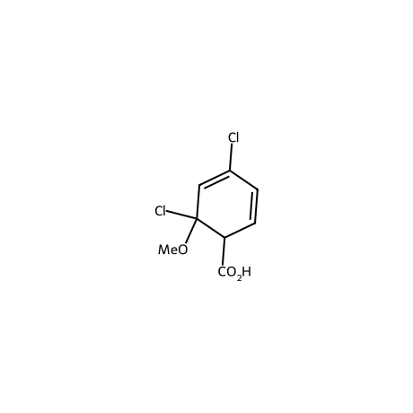 COC1(Cl)C=C(Cl)C=CC1C(=O)O